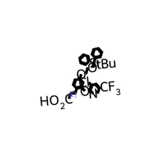 CC(C)(C)[Si](OCCOc1ccc(/C=C/C(=O)O)c(Oc2ncc(C(F)(F)F)cc2Cl)c1)(c1ccccc1)c1ccccc1